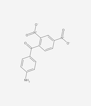 Nc1ccc(C(=O)c2ccc([N+](=O)[O-])cc2[N+](=O)[O-])cc1